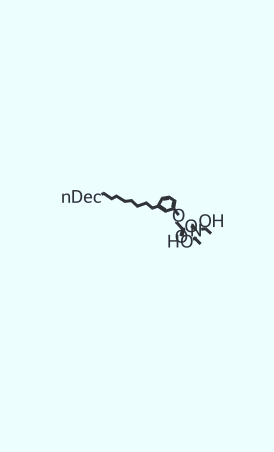 CCCCCCCCCCCCCCCCCCc1cccc(OCC(=O)ON(C(C)O)C(C)O)c1